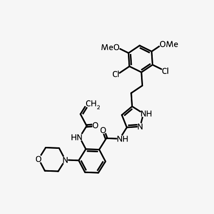 C=CC(=O)Nc1c(C(=O)Nc2cc(CCc3c(Cl)c(OC)cc(OC)c3Cl)[nH]n2)cccc1N1CCOCC1